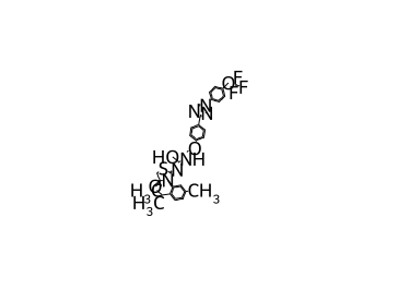 Cc1ccc(C(C)C)c(N2C(=O)CS/C2=N\C(O)NCOc2ccc(-c3ncn(-c4ccc(OC(F)(F)F)cc4)n3)cc2)c1